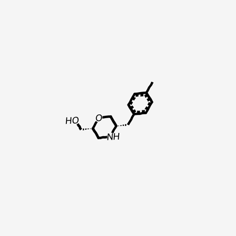 Cc1ccc(C[C@H]2CO[C@@H](CO)CN2)cc1